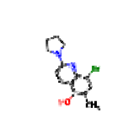 Cc1cc(Br)c2nc(N3CCCC3)ccc2c1O